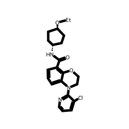 CCO[C@H]1CC[C@H](NC(=O)c2cccc3c2OCCN3c2ncccc2Cl)CC1